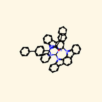 c1ccc(-c2ccc(C3NC(c4ccccc4)NC(n4c5ccccc5c5ccc6c7ccccc7n(-c7cc(-c8ccccc8)c8c9ccccc9n(-c9ccccc9)c8c7)c6c54)N3)cc2)cc1